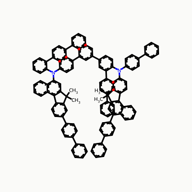 CC1(C)c2cc(N(c3ccc(-c4ccccc4)cc3)c3ccc(-c4cccc(-c5ccc(N(c6ccccc6-c6ccc(-c7ccccc7)cc6)c6cc7c(c8ccccc68)-c6ccc(-c8ccc(-c9ccccc9)cc8)cc6C7(C)C)cc5)c4)cc3-c3ccc(-c4ccccc4)cc3)ccc2-c2c1cc(-c1ccc(-c3ccccc3)cc1)c1ccccc21